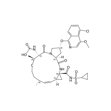 COc1cnc(O[C@@H]2C[C@H]3C(=O)N[C@]4(C(=O)NS(=O)(=O)C5CC5)C[C@H]4C=C[C@H](C)CCC[C@@H](C)[C@H](NC(=O)O)C(=O)N3C2)c2cccc(Cl)c12